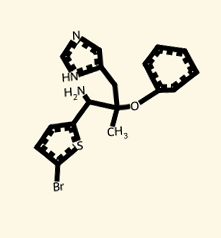 CC(Cc1cnc[nH]1)(Oc1ccccc1)C(N)c1ccc(Br)s1